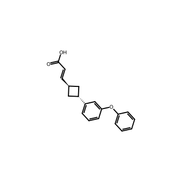 O=C(O)C=C[C@H]1C[C@H](c2cccc(Oc3ccccc3)c2)C1